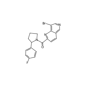 O=C(c1ccc2cncc(Br)c2n1)N1CCCC1c1ccc(F)cc1